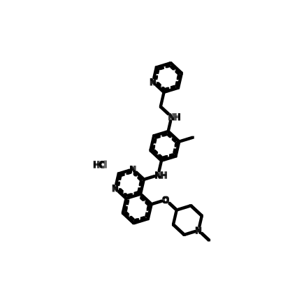 Cc1cc(Nc2ncnc3cccc(OC4CCN(C)CC4)c23)ccc1NCc1ccccn1.Cl